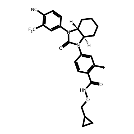 N#Cc1ccc(N2C(=O)N(c3ccc(C(=O)NOCC4CC4)c(F)c3)[C@@H]3CCCC[C@H]32)cc1C(F)(F)F